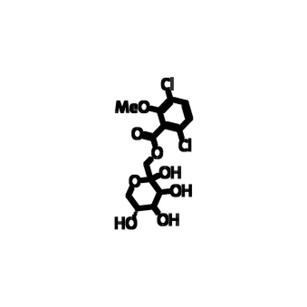 COc1c(Cl)ccc(Cl)c1C(=O)OCC1(O)OC[C@@H](O)C(O)C1O